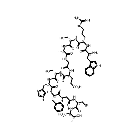 CC(C)C[C@H](NC(=O)CNC(=O)[C@H](Cc1ccccc1)NC(=O)[C@H](Cc1c[nH]cn1)NC(=O)[C@H](CO)NC(=O)[C@H](CCC(=O)O)NC(=O)CNC(=O)[C@H](C)NC(=O)[C@H](CO)NC(=O)[C@H](CCCNC(=N)N)NC(=O)[C@@H](N)Cc1c[nH]c2ccccc12)C(=O)N[C@H](C(=O)O)[C@@H](C)O